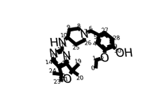 CCOc1cc(CN2CCC(Nc3ncc4c(n3)C(C)(C)OC4(C)C)CC2)ccc1O